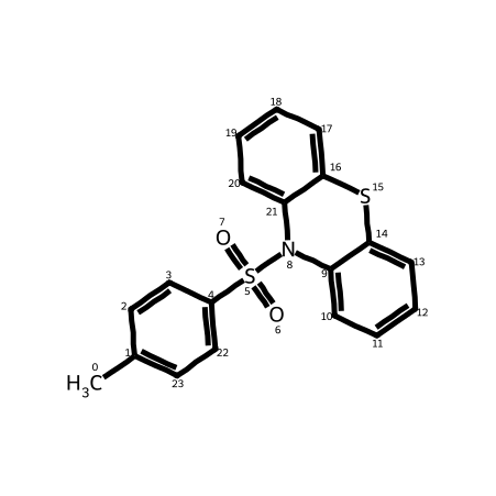 Cc1ccc(S(=O)(=O)N2c3ccccc3Sc3ccccc32)cc1